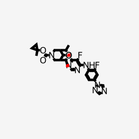 CC1OC(C)C2CN(C(=O)OC3(C)CC3)CC1C2Oc1ncnc(Nc2ccc(-n3cncn3)cc2F)c1F